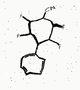 N#CC1C(F)C(F)C(c2ccccc2)C(F)C1F